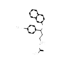 CCCC(=O)ONCCC(Oc1ccc2ccccc2c1)c1ccc(OC)cc1